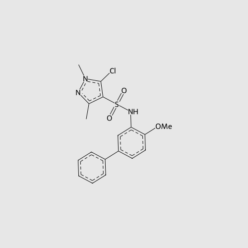 COc1ccc(-c2ccccc2)cc1NS(=O)(=O)c1c(C)nn(C)c1Cl